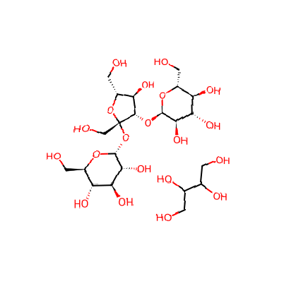 OCC(O)C(O)CO.OC[C@H]1O[C@@](CO)(O[C@H]2O[C@H](CO)[C@@H](O)[C@H](O)[C@H]2O)[C@@H](O[C@H]2O[C@H](CO)[C@@H](O)[C@H](O)[C@H]2O)[C@@H]1O